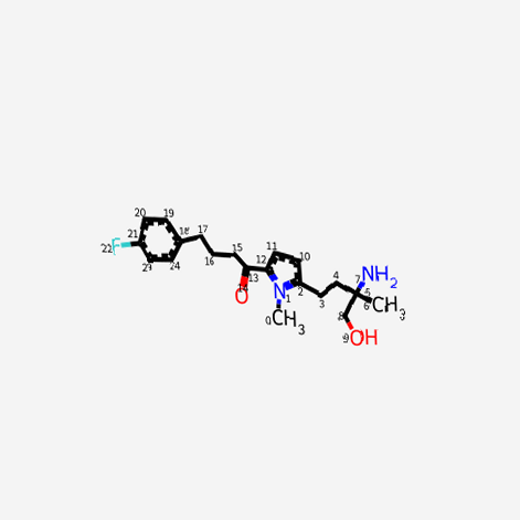 Cn1c(CCC(C)(N)CO)ccc1C(=O)CCCc1ccc(F)cc1